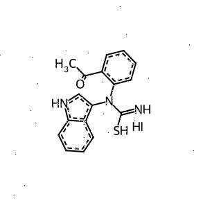 CC(=O)c1ccccc1N(C(=N)S)c1c[nH]c2ccccc12.I